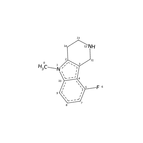 Cn1c2c(c3c(F)cccc31)CNCC2